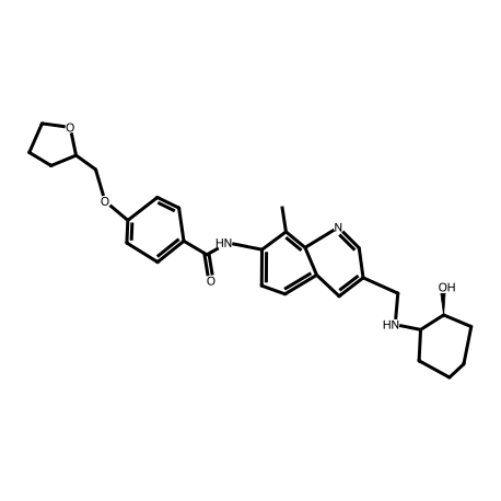 Cc1c(NC(=O)c2ccc(OCC3CCCO3)cc2)ccc2cc(CNC3CCCC[C@@H]3O)cnc12